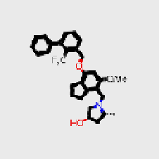 COc1cc(OCc2cccc(-c3ccccc3)c2C(F)(F)F)c2c(c1CN1C[C@H](O)C[C@H]1C)CCC2